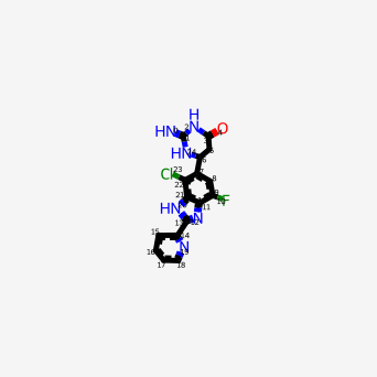 N=C1NC(=O)CC(c2cc(F)c3nc(-c4ccccn4)[nH]c3c2Cl)N1